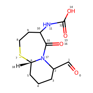 O=CC1CCC[C@@H]2SCCC(NC(=O)O)C(=O)N12